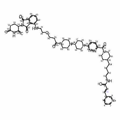 O=C(/C=C/c1cccnc1)NCCCCC1CCN(C(=O)c2ccc(N3CCC(N4CCN(C(=O)CCOCCNc5cccc6c5C(=O)N(C5CCC(=O)NC5=O)C6=O)CC4)CC3)nn2)CC1